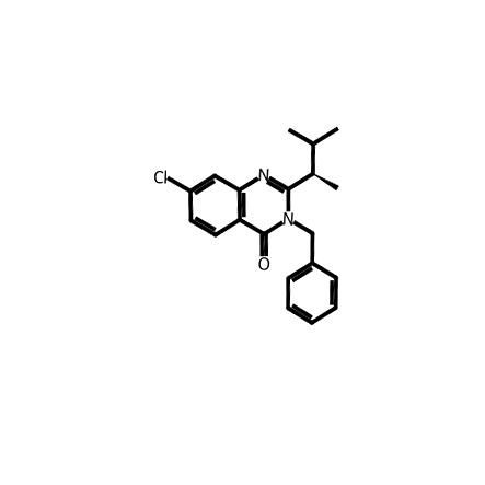 CC(C)[C@@H](C)c1nc2cc(Cl)ccc2c(=O)n1Cc1ccccc1